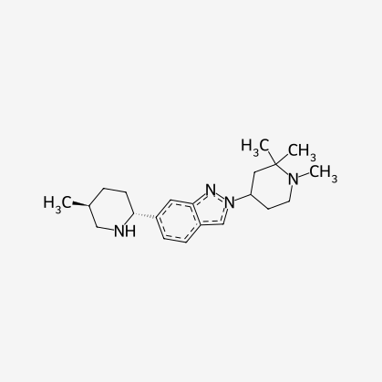 C[C@H]1CC[C@H](c2ccc3cn(C4CCN(C)C(C)(C)C4)nc3c2)NC1